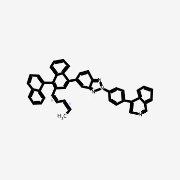 C/C=C\C=C/c1cc(-c2ccc3nn(-c4ccc(-c5cncc6ccccc56)cc4)nc3c2)c2ccccc2c1-c1cccc2ccccc12